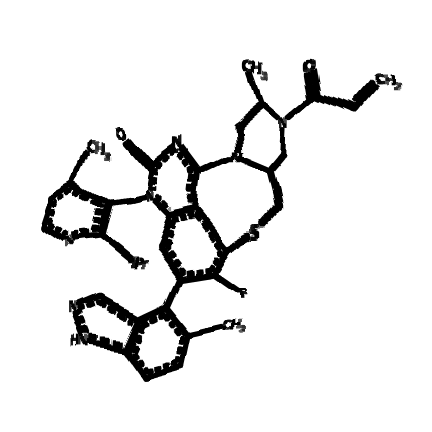 C=CC(=O)N1CC2CSc3c(F)c(-c4c(C)ccc5[nH]ncc45)cc4c3c(nc(=O)n4-c3c(C)ccnc3C(C)C)N2CC1C